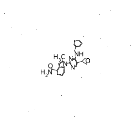 Cc1cc2c(C(N)=O)cccc2n1-c1ncc(C2COC2)c(NCc2ccccc2)n1